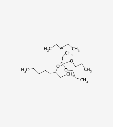 CCCCCC(CC)O[Si](CC)(OCCC)OCCC.CC[P]CC